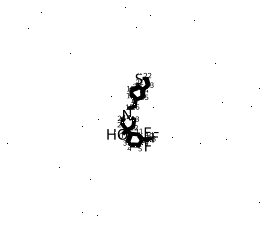 OC1(c2cccc(C(F)(F)F)c2)CCN(CCc2ccc3sccc3c2)CC1